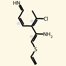 C=CS/C=C(N)/C(/C=C\C=N)=C(/C)Cl